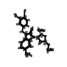 CC(=O)OC[C@@H]1C[C@@H](OC(C)=O)[C@H](n2c(=O)n(Cc3ccc(F)c(F)c3)c3cnc(N)nc32)O1